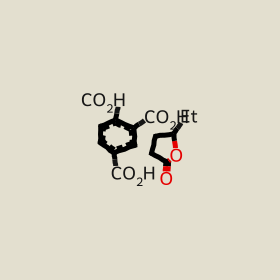 CCC1CCC(=O)O1.O=C(O)c1ccc(C(=O)O)c(C(=O)O)c1